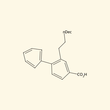 CCCCCCCCCCCCc1cc(C(=O)O)ccc1-c1ccccc1